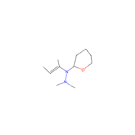 C/C=C(\C)N(C1CCCCO1)N(C)C